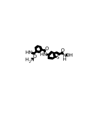 N=C(ON)c1cccc(C(=O)Nc2ccc3sc(C(=O)NO)cc3c2)c1